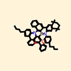 CCCCc1ccc(N2B3c4c(cc5ccccc5c4N(c4ccc(CCCC)cc4-c4ccccc4)c4ccc5c(oc6ccccc65)c43)-c3cc4c(cc32)C(C)(C)CCC4(C)C)cc1